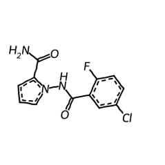 NC(=O)c1cccn1NC(=O)c1cc(Cl)ccc1F